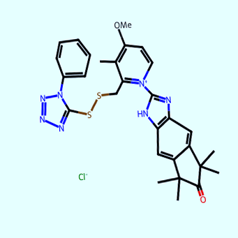 COc1cc[n+](-c2nc3cc4c(cc3[nH]2)C(C)(C)C(=O)C4(C)C)c(CSSc2nnnn2-c2ccccc2)c1C.[Cl-]